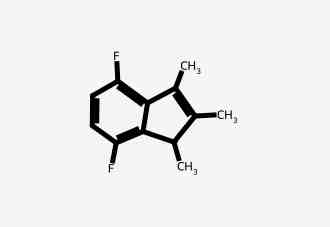 C[C]1C(C)=C(C)c2c(F)ccc(F)c21